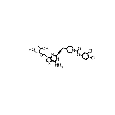 C[C@@H](O)[C@@H](CO)OCn1cnc2c(N)nc(C#CCC3CCN(C(=O)Oc4ccc(Cl)c(Cl)c4)CC3)nc21